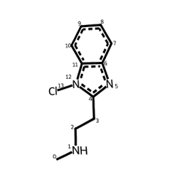 CNCCc1nc2ccccc2n1Cl